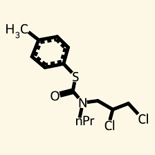 CCCN(CC(Cl)CCl)C(=O)Sc1ccc(C)cc1